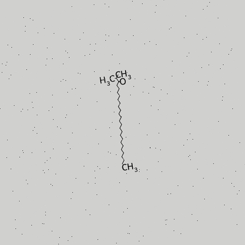 CCCCCCCCCCCCCCCCCCCCCCCCC(=O)C(C)C